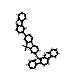 CC1(C)c2cc(-c3ccc4oc5ccccc5c4c3)ccc2-c2ccc(-n3c4ccccc4c4ccc5c6ccccc6oc5c43)cc21